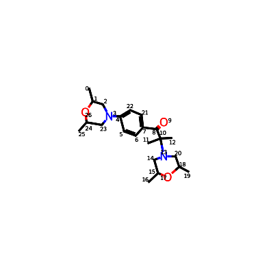 CC1CN(c2ccc(C(=O)C(C)(C)N3CC(C)OC(C)C3)cc2)CC(C)O1